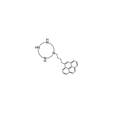 c1cc2ccc3cccc4c(CCCCN5CCCNCCNCCCNCC5)cc(c1)c2c34